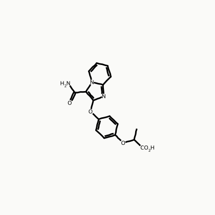 CC(Oc1ccc(Oc2nc3ccccn3c2C(N)=O)cc1)C(=O)O